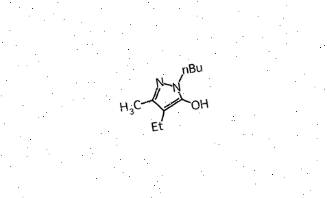 CCCCn1nc(C)c(CC)c1O